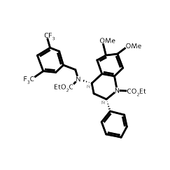 CCOC(=O)N(Cc1cc(C(F)(F)F)cc(C(F)(F)F)c1)[C@H]1C[C@@H](c2ccccc2)N(C(=O)OCC)c2cc(OC)c(OC)cc21